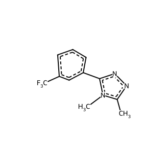 Cc1nnc(-c2cccc(C(F)(F)F)c2)n1C